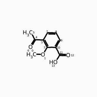 COc1c(C(C)=O)cccc1C(=O)O